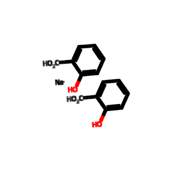 O=C(O)c1ccccc1O.O=C(O)c1ccccc1O.[Na]